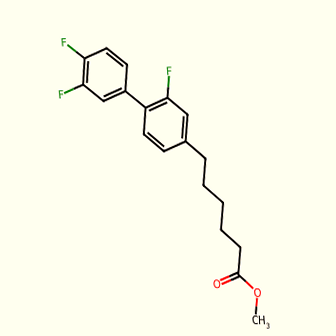 COC(=O)CCCCCc1ccc(-c2ccc(F)c(F)c2)c(F)c1